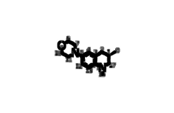 C[C@@H]1Cc2cc(N3CCOCC3)ccc2N(C)C1